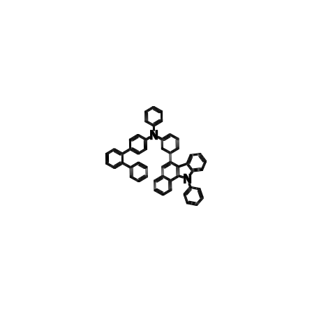 C1=CC(c2cc3ccccc3c3c2c2ccccc2n3-c2ccccc2)CC(N(c2ccccc2)c2ccc(-c3ccccc3-c3ccccc3)cc2)=C1